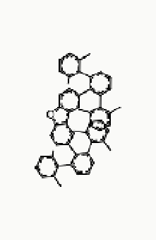 Cc1cccc(C)c1-c1cccc(-c2c(C)cccc2C)c1-c1ccc2oc3ccc(-c4c(-c5c(C)cccc5C)cccc4-c4c(C)cccc4C)cc3c2c1